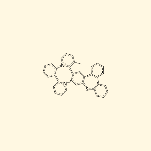 Cc1ccc[n+]2c3ccccc3c3cccc[n+]3c3cc4sc5ccccc5c5ccccc5c4cc3c12